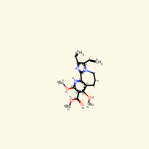 C=Cc1nc2n(c1C=C)CCCc1c-2nc(OC(C)(C)C)c(C(=O)OC(C)(C)C)c1OC(C)(C)C